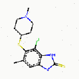 Cc1cc2c(c(Cl)c1SC1CCN(C)CC1)NC(=S)[N]2